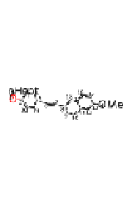 CCCCCCCOc1ccc(C#Cc2ccc3cc(OC)ccc3c2)cc1